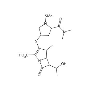 CSN1CC(SC2=C(C(=O)O)N3C(=O)C(C(C)O)C3C2C)CC1C(=O)N(C)C